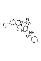 CCS(=O)(=O)c1cc(NC(=O)C2CCCCC2)cnc1-n1ncc2ccc(C(F)(F)F)cc2c1=O